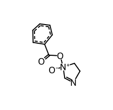 O=C(O[N+]1([O-])C=NCC1)c1ccccc1